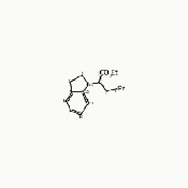 CCOC(=O)C(CC(C)C)N1CCc2ccccc21